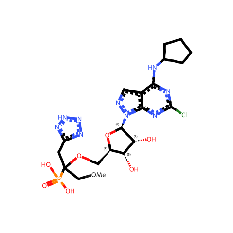 COCC(Cc1nn[nH]n1)(OC[C@H]1O[C@@H](n2ncc3c(NC4CCCC4)nc(Cl)nc32)[C@H](O)[C@@H]1O)P(=O)(O)O